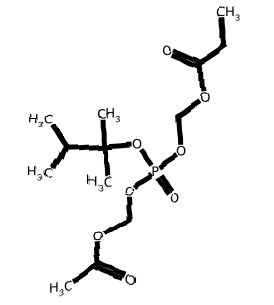 CCC(=O)OCOP(=O)(OCOC(C)=O)OC(C)(C)C(C)C